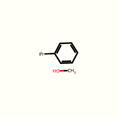 CC(C)c1ccccc1.CO